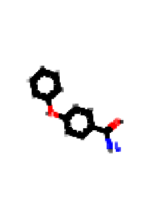 NC(=O)c1[c]cc(Oc2ccccc2)cc1